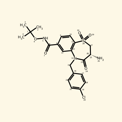 CC(C)(C)ONC(=O)c1ccc2c(c1)N(Cc1ccc(Cl)cc1)C(=O)[C@@H](N)CS2(=O)=O